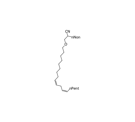 CCCCC/C=C\C/C=C\CCCCCCCCOCC(C#N)CCCCCCCCC